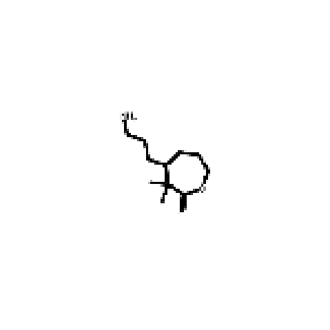 CC1(C)C(=O)OCCCC1CCCN